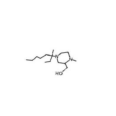 CCCCCC(C)(CC)N1CCN(C)C(CO)C1